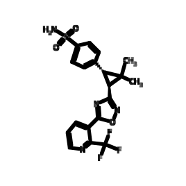 CC1(C)[C@@H](c2ccc(S(N)(=O)=O)cc2)[C@@H]1c1noc(-c2cccnc2C(F)(F)F)n1